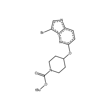 CC(C)(C)OC(=O)N1CCC(Oc2ccc3ncc(Br)n3n2)CC1